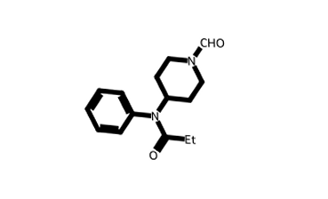 CCC(=O)N(c1ccccc1)C1CCN(C=O)CC1